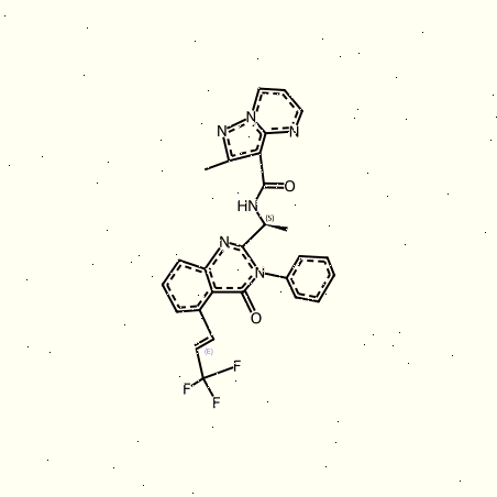 Cc1nn2cccnc2c1C(=O)N[C@@H](C)c1nc2cccc(/C=C/C(F)(F)F)c2c(=O)n1-c1ccccc1